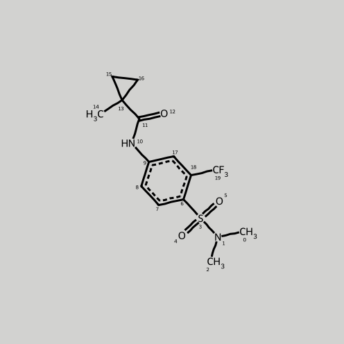 CN(C)S(=O)(=O)c1ccc(NC(=O)C2(C)CC2)cc1C(F)(F)F